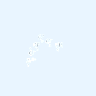 [Cl-].[Cl-].[Cl-].[Cl-].[KH].[Zr+4]